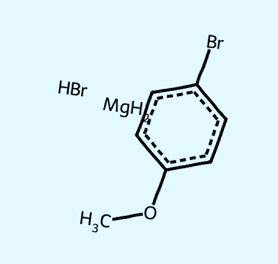 Br.COc1ccc(Br)cc1.[MgH2]